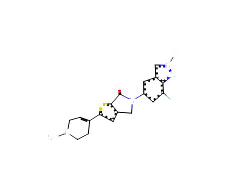 Cn1cc2cc(N3Cc4cc(C5=CCB(C#N)CC5)sc4C3=O)cc(F)c2n1